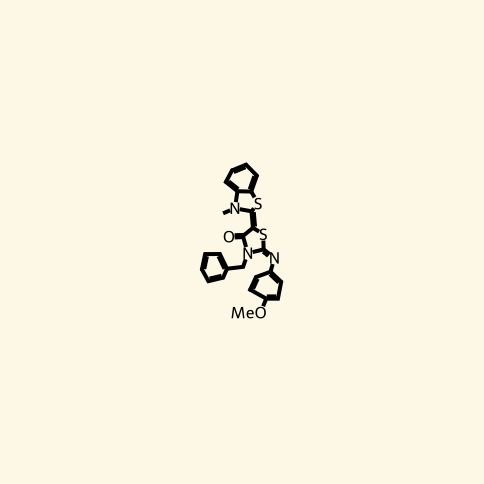 COc1ccc(/N=C2/S/C(=C3\Sc4ccccc4N3C)C(=O)N2Cc2ccccc2)cc1